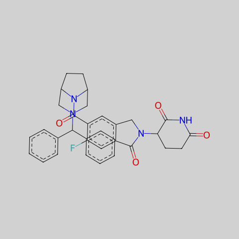 O=C1CCC(N2Cc3cc(C(=O)N4C5CCC4CN(C(c4ccccc4)c4ccccc4)C5)c(F)cc3C2=O)C(=O)N1